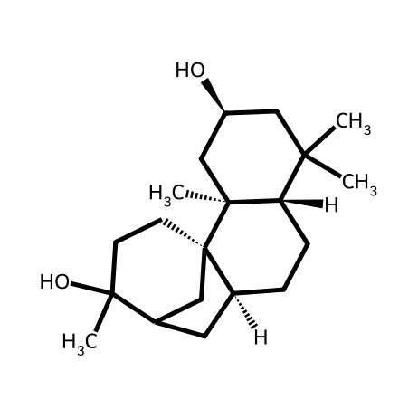 CC1(O)CC[C@@]23CC1C[C@@H]2CC[C@H]1C(C)(C)C[C@H](O)C[C@@]13C